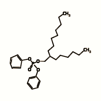 CCCCCCCCC(CCCCCC)COP(=O)(Oc1ccccc1)Oc1ccccc1